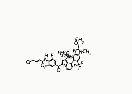 CNc1cc(C(=O)c2cc(F)c(NC(=O)/C=C/CCl)c(F)c2)n2cccc(-c3c(C(F)(F)F)cc4c(nc(COC)n4C)c3OC)c12